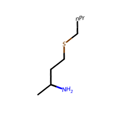 CCCCSCCC(C)N